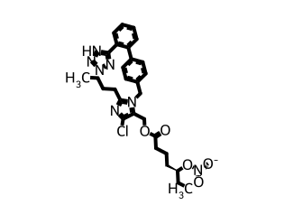 CCCCc1nc(Cl)c(COC(=O)CCC[C@H](CC)O[N+](=O)[O-])n1Cc1ccc(-c2ccccc2-c2nnn[nH]2)cc1